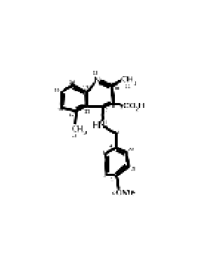 COc1ccc(CNc2c(C(=O)O)c(C)nc3cccc(C)c23)cc1